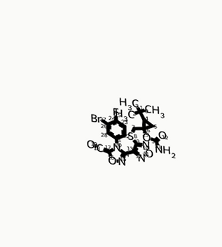 CC(C)(C)C1CC1(CSc1nonc1C1=NOC(=C=O)N1c1ccc(F)c(Br)c1)OC(N)=O